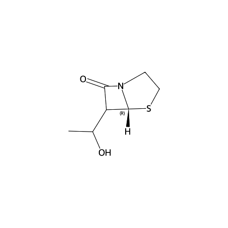 CC(O)C1C(=O)N2CCS[C@H]12